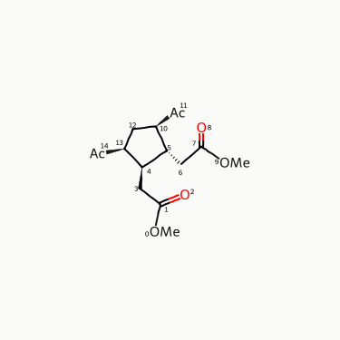 COC(=O)C[C@@H]1[C@@H](CC(=O)OC)[C@H](C(C)=O)C[C@@H]1C(C)=O